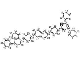 c1ccc(-c2nc(-c3ccccc3)nc(-c3ccc(-c4ccc5cc(-c6ccc(-c7ccc8c9c(cccc79)-c7ccccc7-8)cc6)ccc5c4)cc3)n2)cc1